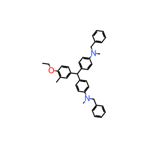 CCOc1ccc(C(c2ccc(N(C)Cc3ccccc3)cc2)c2ccc(N(C)Cc3ccccc3)cc2)cc1C